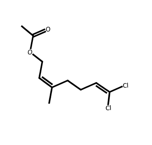 CC(=O)OCC=C(C)CCC=C(Cl)Cl